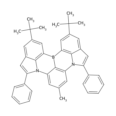 Cc1cc2c3c(c1)-n1c(-c4ccccc4)cc4cc(C(C)(C)C)cc(c41)B3c1cc(C(C)(C)C)cc3cc(-c4ccccc4)n-2c13